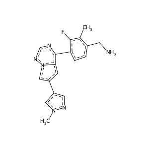 Cc1c(CN)ccc(-c2ncnn3cc(-c4cnn(C)c4)cc23)c1F